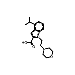 CC(C)c1cccc2c1cc(C(=O)O)n2CCN1CCOCC1